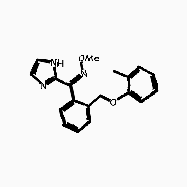 CO/N=C(\c1ncc[nH]1)c1ccccc1COc1ccccc1C